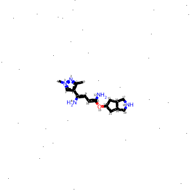 Cc1nn(C)cc1/C(N)=C/C=C(\N)OC1CC2CNCC2C1